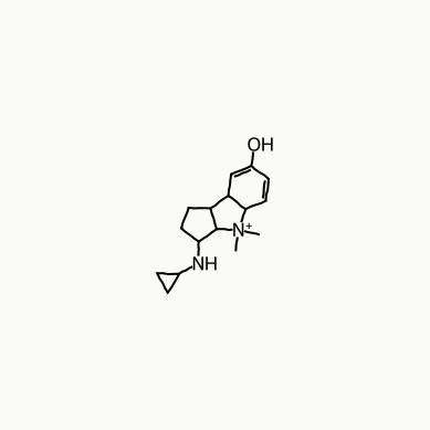 C[N+]1(C)C2C=CC(O)=CC2C2CCC(NC3CC3)C21